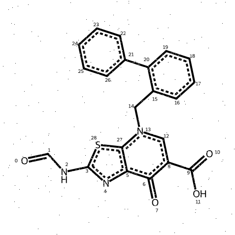 O=CNc1nc2c(=O)c(C(=O)O)cn(Cc3ccccc3-c3ccccc3)c2s1